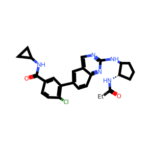 CCC(=O)N[C@H]1CCCC1Nc1ncc2cc(-c3cc(C(=O)NC4CC4)ccc3Cl)ccc2n1